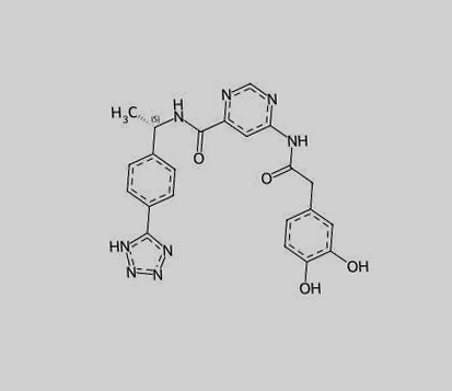 C[C@H](NC(=O)c1cc(NC(=O)Cc2ccc(O)c(O)c2)ncn1)c1ccc(-c2nnn[nH]2)cc1